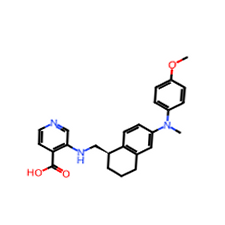 COc1ccc(N(C)c2ccc3c(c2)CCC[C@H]3CNc2cnccc2C(=O)O)cc1